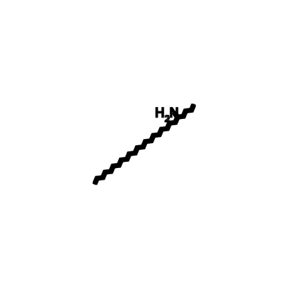 CCCCCCCCCCCCCCCCCCCCCC(N)CCCC